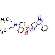 CCCCN(CCCC)c1cccc2c(S(=O)(=O)Nc3ccc4[nH]nc(-c5ccccc5)c4c3)cccc12